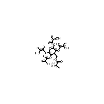 CC(O)C(=O)OCC1C(OC(=O)C(C)O)C(OC(=O)C(C)O)OC(OC(=O)C(C)O)C1OC(=O)C(C)O